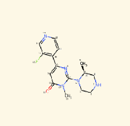 C[C@H]1CNCCN1c1nc(-c2ccncc2F)cc(=O)n1C